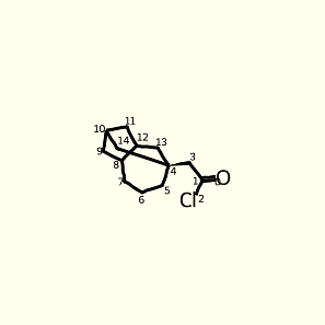 O=C(Cl)C[C@]12CCCC3CC(CC3C1)C2